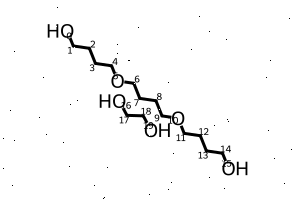 OCCCCOCCCCOCCCCO.OCCO